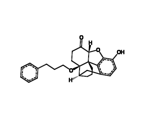 O=C1CC[C@@]2(OCCCc3ccccc3)[C@@H]3CCC[C@@]24c2c(ccc(O)c2O[C@@H]14)C3